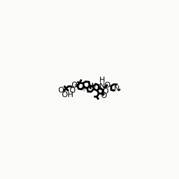 CC(C)C1C(=O)C[C@]2(NC(=O)OC3CCN(C)CC3)CC[C@]3(C)C(CCC4C3(C)CCC3C(C)(C)[C@@H](OC(=O)CC(C)(C)C(=O)O)CC[C@@]34C)C12